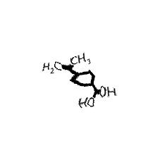 C=C(C)C1CC=C(C(O)O)CC1